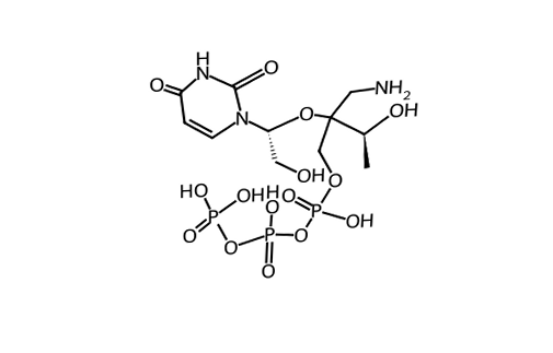 C[C@H](O)C(CN)(COP(=O)(O)OP(=O)(O)OP(=O)(O)O)O[C@H](CO)n1ccc(=O)[nH]c1=O